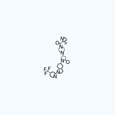 O=C(c1nccs1)N1CCN(C2CC(=O)N(c3ccc4c(ccn4-c4cc(C(F)(F)F)ccn4)c3)C2)CC1